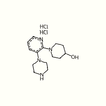 Cl.Cl.OC1CCN(c2ncccc2N2CCNCC2)CC1